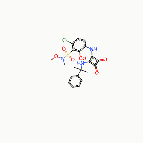 CON(C)S(=O)(=O)c1c(Cl)ccc(Nc2c(NC(C)(C)c3ccccc3)c(=O)c2=O)c1O